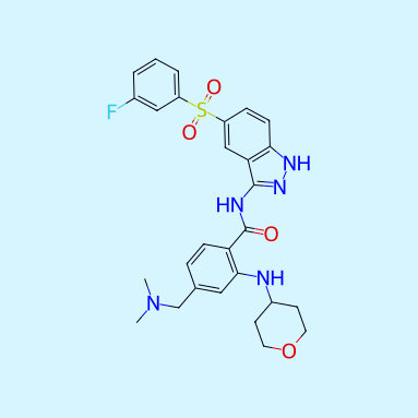 CN(C)Cc1ccc(C(=O)Nc2n[nH]c3ccc(S(=O)(=O)c4cccc(F)c4)cc23)c(NC2CCOCC2)c1